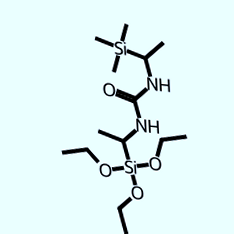 CCO[Si](OCC)(OCC)C(C)NC(=O)NC(C)[Si](C)(C)C